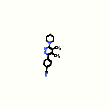 Cc1c(-c2ccc(C#N)cc2)nnc(N2CC[CH]CC2)c1C